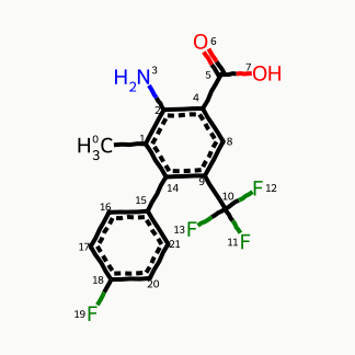 Cc1c(N)c(C(=O)O)cc(C(F)(F)F)c1-c1ccc(F)cc1